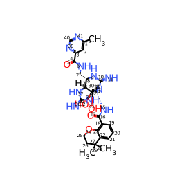 Cc1cc(C(=O)NC[C@@H]2NC(=N)N3C[C@H](NC(=O)c4cccc5c4OCCC5(C)C)C(O)(O)[C@@]34NC(=N)N[C@@H]24)ncn1